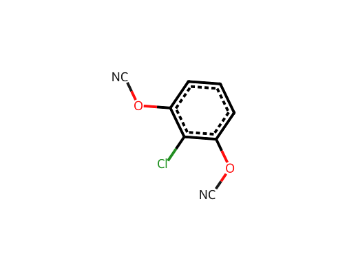 N#COc1cccc(OC#N)c1Cl